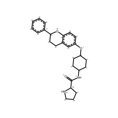 O=C(NC1CCC(Oc2ccc3c(c2)CCC(c2ccccc2)O3)CC1)C1CCCN1